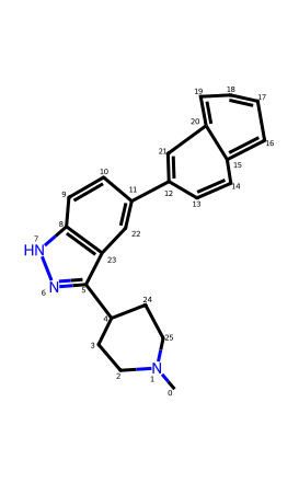 CN1CCC(c2n[nH]c3ccc(-c4ccc5ccccc5c4)cc23)CC1